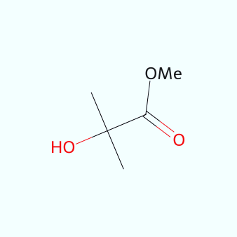 [CH2]OC(=O)C(C)(C)O